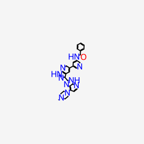 CN1CCN(c2ccnc3[nH]c(-c4n[nH]c5ncc(-c6cncc(NC(=O)c7ccccc7)c6)cc45)nc23)CC1